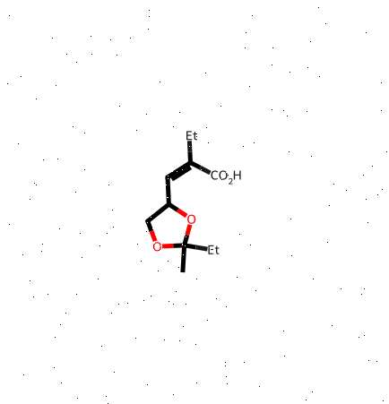 CCC(=CC1COC(C)(CC)O1)C(=O)O